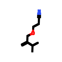 C=C(COCCC#N)C(C)C